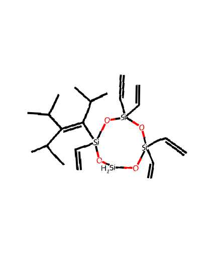 C=C[Si]1(C=C)O[SiH2]O[Si](C=C)(C(=C(C(C)C)C(C)C)C(C)C)O[Si](C=C)(C=C)O1